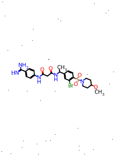 COC1CCN(S(=O)(=O)c2ccc(C(C)NC(=O)CC(=O)Nc3ccc(C(=N)N)cc3)cc2Br)CC1